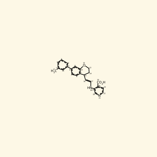 Cc1cccc(-c2ccc3c(c2)OCCC3/C=C/Nc2cnccc2C(=O)O)c1